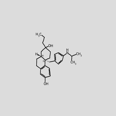 CCCC1(O)CC[C@@]2(Cc3ccc(NC(C)C)cc3)c3ccc(O)cc3CC[C@@H]2C1